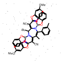 CCC(C)C1/C(=C(\C#N)c2nc3ccc(OC)cc3o2)N(B2Oc3ccccc3O2)C(c2cccc(C)c2)=C(C)/C(=C(\C#N)c2nc3ccc(OC)cc3o2)N1B1Oc2ccccc2O1